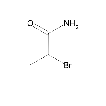 CCC(Br)C(N)=O